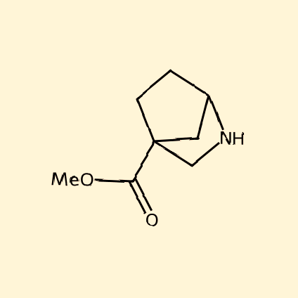 COC(=O)C12CCC(C1)NC2